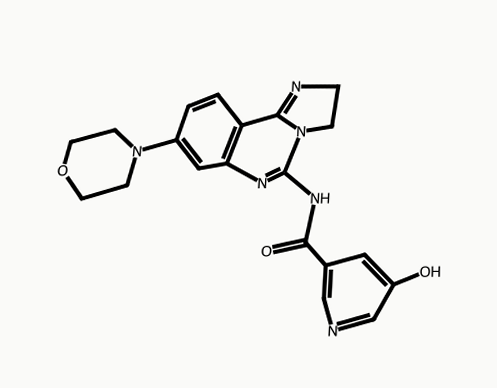 O=C(NC1=Nc2cc(N3CCOCC3)ccc2C2=NCCN12)c1cncc(O)c1